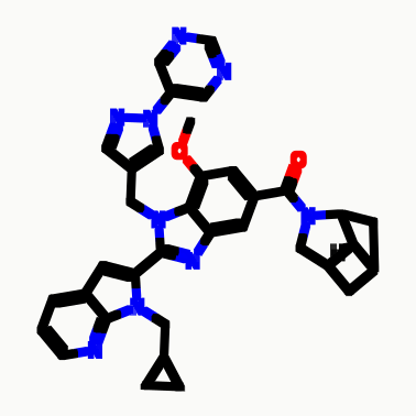 COc1cc(C(=O)N2CC3CC4CC2[C@H]43)cc2nc(-c3cc4cccnc4n3CC3CC3)n(Cc3cnn(-c4cncnc4)c3)c12